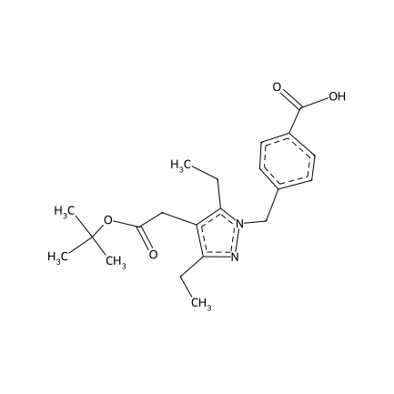 CCc1nn(Cc2ccc(C(=O)O)cc2)c(CC)c1CC(=O)OC(C)(C)C